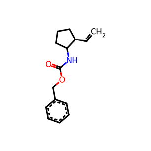 C=C[C@@H]1CCCC1NC(=O)OCc1ccccc1